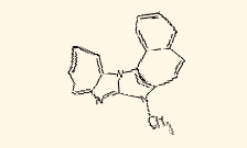 Cn1c2ccc3ccccc3c2n2c3ccccc3nc12